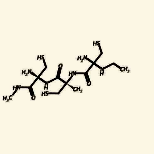 CCNC(N)(CS)C(=O)N[C@@](C)(CS)C(=O)N[C@@](N)(CS)C(=O)NC